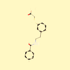 O=C(O)CSc1cccc(CCNC(=O)c2ccccc2)c1